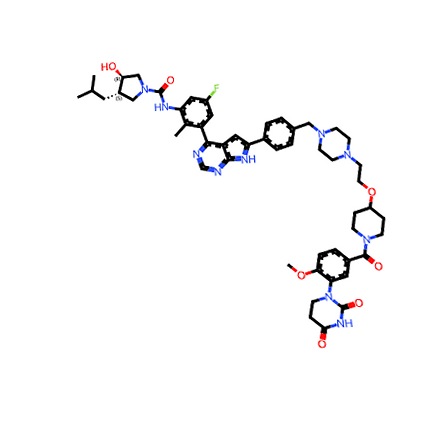 COc1ccc(C(=O)N2CCC(OCCN3CCN(Cc4ccc(-c5cc6c(-c7cc(F)cc(NC(=O)N8C[C@H](CC(C)C)[C@@H](O)C8)c7C)ncnc6[nH]5)cc4)CC3)CC2)cc1N1CCC(=O)NC1=O